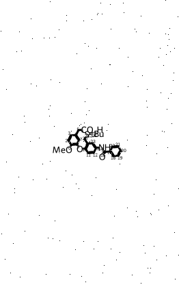 COc1ccc(CC(=O)O)cc1Oc1ccc(NC(=O)c2ccccc2)cc1CSC(C)(C)C